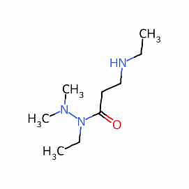 CCNCCC(=O)N(CC)N(C)C